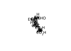 CCON=C(C(=O)NC1C(=O)N2C(C(=O)O)=C(CSc3nnnn3CC(=O)O)CS[C@@H]12)c1csc(NC=O)n1